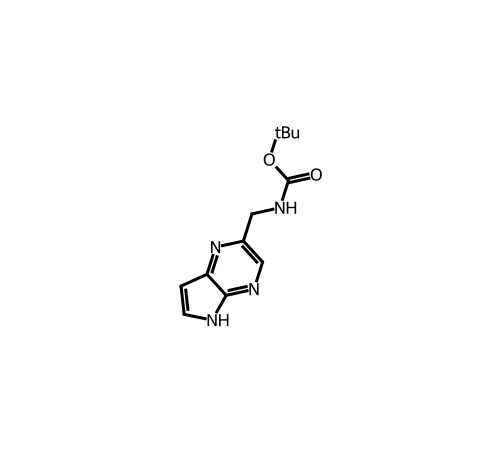 CC(C)(C)OC(=O)NCc1cnc2[nH]ccc2n1